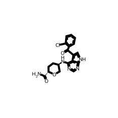 NC(=O)[C@@H]1CC[C@@H](Nc2ncnc3[nH]cc(C(=O)c4ccccc4Cl)c23)CO1